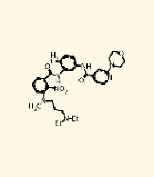 CCN(CC)CCCN(C)c1cccc(C(=O)Nc2cc(NC(=O)c3ccnc(N4CCOCC4)c3)ccc2C)c1[N+](=O)[O-]